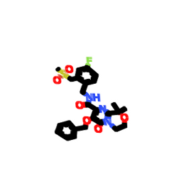 CC1(C)OCCn2c1nc(C(=O)NCc1ccc(F)cc1CS(C)(=O)=O)c(OCc1ccccc1)c2=O